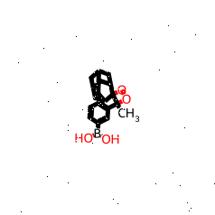 CC1(c2cccc(B(O)O)c2)OOC12C1CC3CC(C1)CC2C3